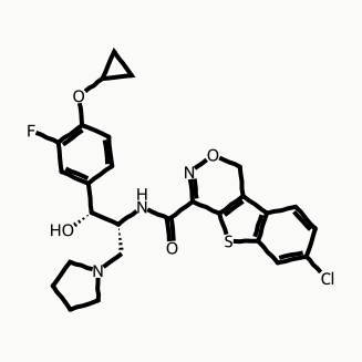 O=C(N[C@H](CN1CCCC1)[C@H](O)c1ccc(OC2CC2)c(F)c1)C1=NOCc2c1sc1cc(Cl)ccc21